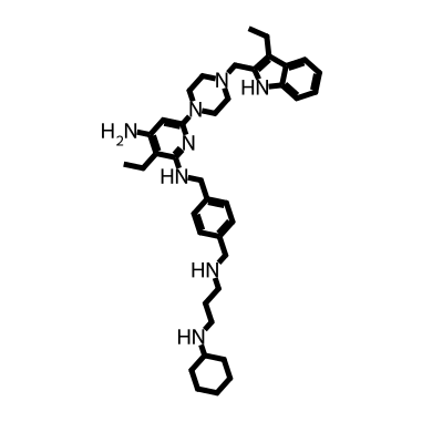 CCc1c(N)cc(N2CCN(Cc3[nH]c4ccccc4c3CC)CC2)nc1NCc1ccc(CNCCCNC2CCCCC2)cc1